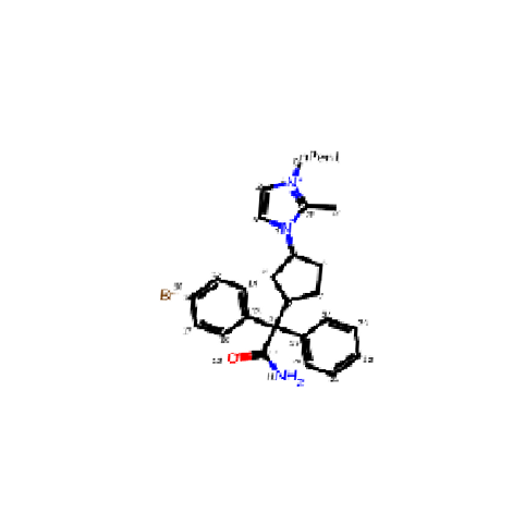 CCCCC[n+]1ccn(C2CCC(C(C(N)=O)(c3ccccc3)c3ccccc3)C2)c1C.[Br-]